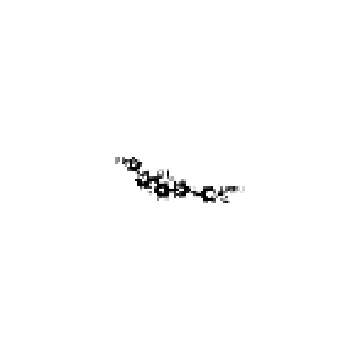 CCn1cc(-n2ccc(=O)c(C(C)c3cccc(-c4ncc(OCC5CCN(C(=O)OC(C)(C)C)CC5)cn4)c3)n2)cn1